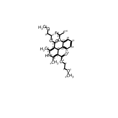 COCCOC(=O)C1=C(C)NC(C)=C(C(=O)OCCOC)C1c1ccccc1OC(F)F